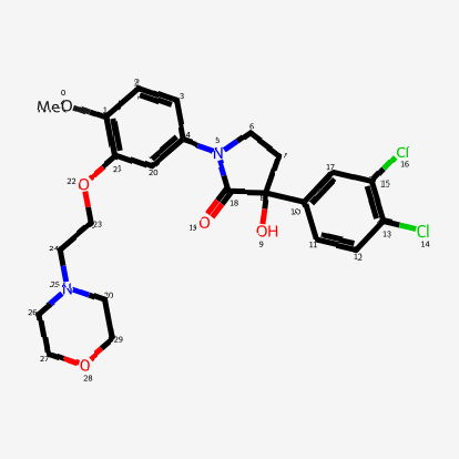 COc1ccc(N2CCC(O)(c3ccc(Cl)c(Cl)c3)C2=O)cc1OCCN1CCOCC1